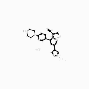 Cl.Cn1cc(-c2cc(-c3ccc(N4CCNCC4)nc3)c3c(C#N)cnn3c2)cn1